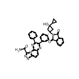 NC(=O)c1nnc2ccc3nc(-c4ccc([C@]5(N6C(=O)c7ccccc7C6=O)C[C@@](O)(C6CC6)C5)cc4)c(-c4ccccc4)nc3n12